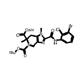 COC(=O)C1(C)Cc2c(nc(C(=O)Nc3cccc(Br)c3Cl)n2C)CN1C(=O)OC(C)(C)C